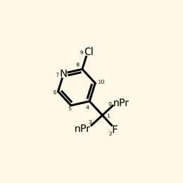 CCCC(F)(CCC)c1ccnc(Cl)c1